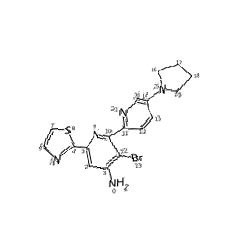 Nc1cc(-c2nccs2)nc(-c2ccc(N3CCCC3)cn2)c1Br